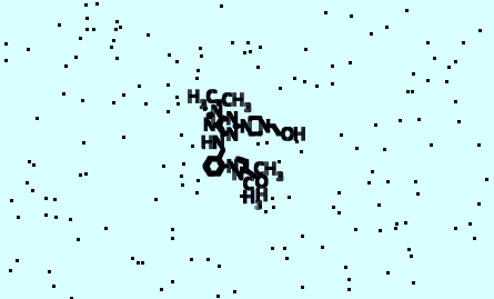 CC(C)n1cnc2c(NCc3ccccc3-n3ccc(C(C)(C)O)n3)nc(N3CCN(CCO)CC3)nc21